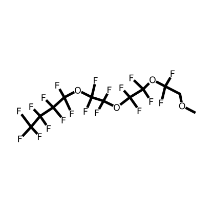 COCC(F)(F)OC(F)(F)C(F)(F)OC(F)(F)C(F)(F)OC(F)(F)C(F)(F)C(F)(F)C(F)(F)F